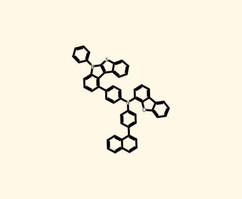 c1ccc(-n2c3cccc(-c4ccc(N(c5ccc(-c6cccc7ccccc67)cc5)c5cccc6c5oc5ccccc56)cc4)c3c3c4ccccc4sc32)cc1